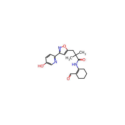 CC(C)(Cc1cc(-c2ccc(O)cn2)no1)C(=O)NC1=C(C=O)CCCC1